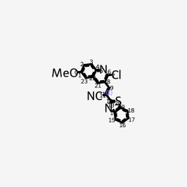 COc1ccc2nc(Cl)c(/C=C(\C#N)c3nc4ccccc4s3)cc2c1